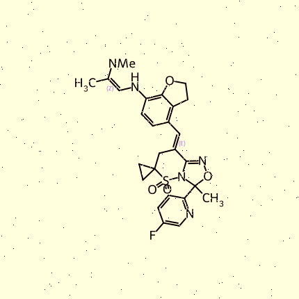 CN/C(C)=C\Nc1ccc(/C=C2\CC3(CC3)S(=O)(=O)N3C2=NOC3(C)c2ccc(F)cn2)c2c1OCC2